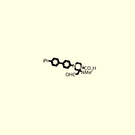 CNC1(CC=O)CN(c2ccc(-c3ccc(C(C)C)cc3)cc2)CCN1C(=O)O